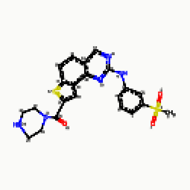 CS(=O)(=O)c1cccc(Nc2ncc3ccc4sc(C(=O)N5CCNCC5)cc4c3n2)c1